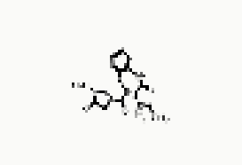 CC[C@H](C)[C@H]1C(=O)Nc2ccccc2CN1C(=O)C1CC(=O)N(C)C1